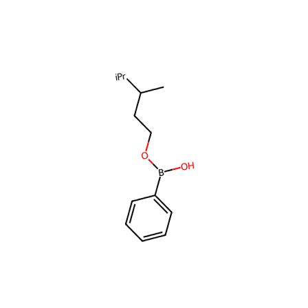 CC(C)C(C)CCOB(O)c1ccccc1